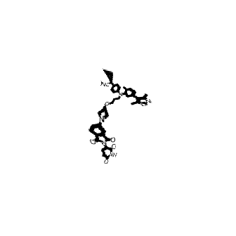 Cc1ccc(-c2c(C)noc2C)cc1N(CCCOC1CN(c2ccc3c(c2)C(=O)N(C2CCC(=O)NC2=O)C3=O)C1)c1ccc(C2(C#N)CC2)cc1